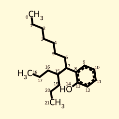 CCCCCCCC(c1ccccc1O)C(CCC)CCC